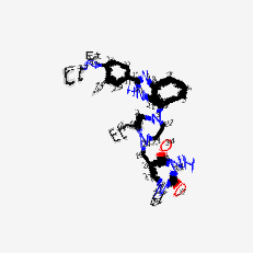 CC[C@H]1CN(c2cccc3nc(-c4ccc(N(CC)CC)cc4)[nH]c23)CCN1Cc1cn(CC)c(=O)[nH]c1=O